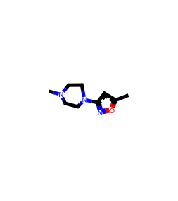 Cc1cc(N2CCN(C)CC2)no1